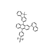 CC1(C)c2ccccc2-c2cc(-c3c4ccccc4c(-c4ccc(C(F)(F)F)cc4)c4ccc(-c5cccc6ccccc56)cc34)ccc21